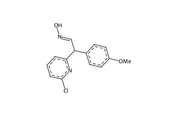 COc1ccc(C(C=NO)c2cccc(Cl)n2)cc1